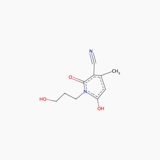 Cc1cc(O)n(CCCO)c(=O)c1C#N